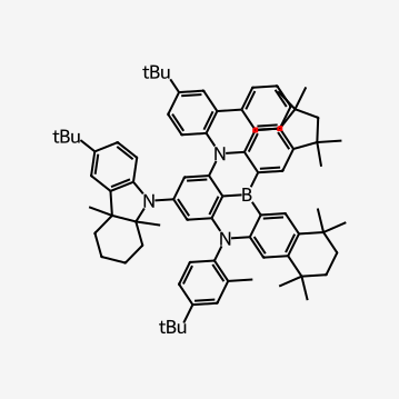 Cc1cc(C(C)(C)C)ccc1N1c2cc3c(cc2B2c4cc5c(cc4N(c4ccc(C(C)(C)C)cc4-c4ccccc4)c4cc(N6c7ccc(C(C)(C)C)cc7C7(C)CCCCC67C)cc1c42)C(C)(C)CC5(C)C)C(C)(C)CCC3(C)C